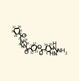 N=C(N)Nc1ccc(C(=O)Oc2ccc(C(=O)N3CCN(CC(=O)c4ccccc4)CC3)cc2)cc1